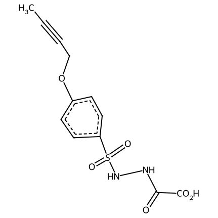 CC#CCOc1ccc(S(=O)(=O)NNC(=O)C(=O)O)cc1